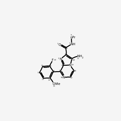 CCCNC(=O)c1nc2c(-c3c(F)cccc3OC)nccn2c1N